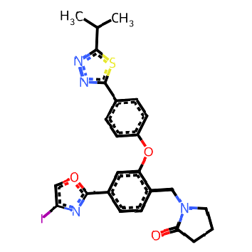 CC(C)c1nnc(-c2ccc(Oc3cc(-c4nc(I)co4)ccc3CN3CCCC3=O)cc2)s1